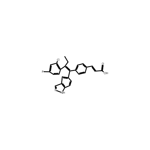 CCC(=C(c1ccc(C=CC(=O)O)cc1)c1ccc2[nH]ncc2c1)c1ccc(F)cc1Cl